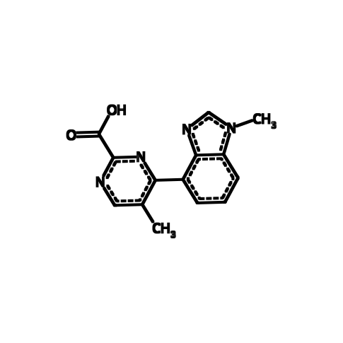 Cc1cnc(C(=O)O)nc1-c1cccc2c1ncn2C